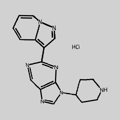 Cl.c1ccn2ncc(-c3ncc4ncn(C5CCNCC5)c4n3)c2c1